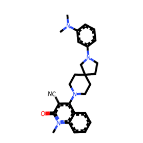 CN(C)c1cccc(N2CCC3(CCN(c4c(C#N)c(=O)n(C)c5ccccc45)CC3)C2)c1